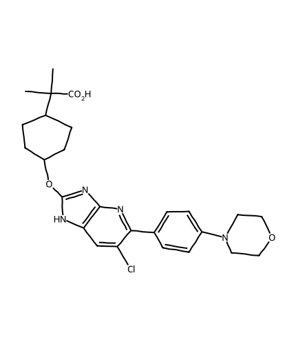 CC(C)(C(=O)O)C1CCC(Oc2nc3nc(-c4ccc(N5CCOCC5)cc4)c(Cl)cc3[nH]2)CC1